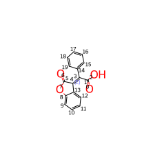 O=C(O)/C(=C1/C(=O)Oc2ccccc21)c1ccccc1